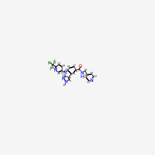 Cn1cc2c3cc(C(=O)NCc4ccncc4)ccc3n(-c3ccc(C(F)(F)F)nc3)c2n1